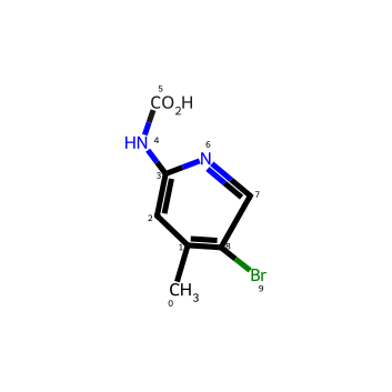 Cc1cc(NC(=O)O)ncc1Br